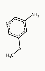 CSc1cncc(N)c1